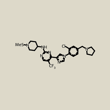 CSN1CCC(Nc2ncc(C(F)(F)F)c(-c3cn(-c4ccc(CN5CCCC5)cc4Cl)cn3)n2)CC1